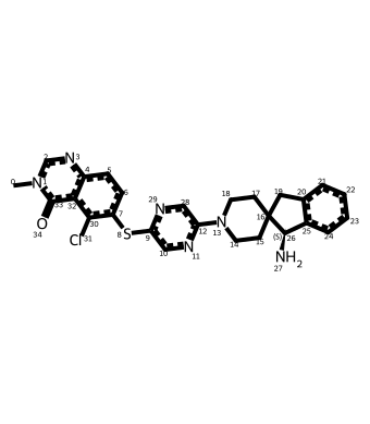 Cn1cnc2ccc(Sc3cnc(N4CCC5(CC4)Cc4ccccc4[C@H]5N)cn3)c(Cl)c2c1=O